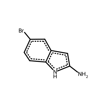 Nc1cc2cc(Br)ccc2[nH]1